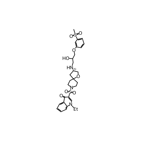 CCn1cc(S(=O)(=O)N2CCC3(CC2)C[C@H](NCC(O)COc2cccc(S(C)(=O)=O)c2)CO3)c(=O)c2ccccc21